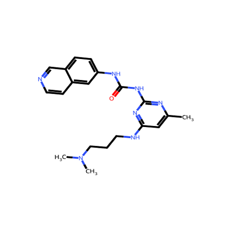 Cc1cc(NCCCN(C)C)nc(NC(=O)Nc2ccc3cnccc3c2)n1